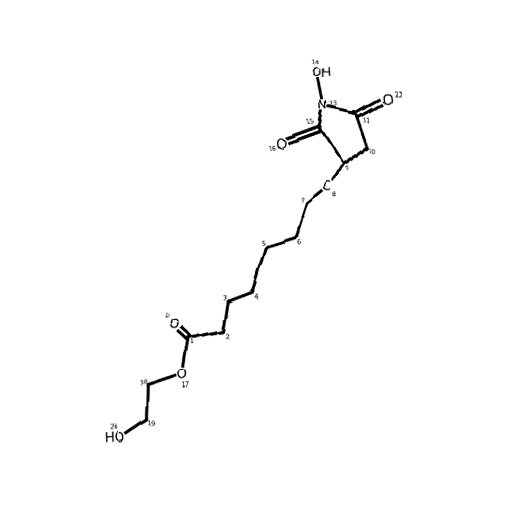 O=C(CCCCCCCC1CC(=O)N(O)C1=O)OCCO